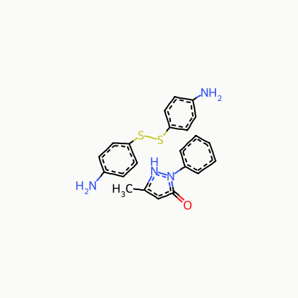 Cc1cc(=O)n(-c2ccccc2)[nH]1.Nc1ccc(SSc2ccc(N)cc2)cc1